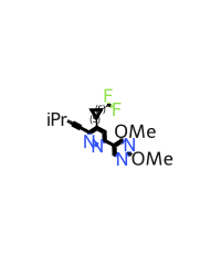 COc1ncc(-c2cc([C@H]3C[C@@H]3C(F)F)c(C#CC(C)C)nn2)c(OC)n1